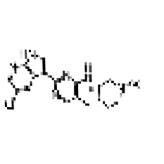 CC(=O)N1CCC[C@H](Nc2nc(-c3c[nH]c4ncc(Cl)cc34)ncc2F)C1